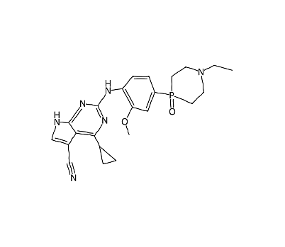 CCN1CCP(=O)(c2ccc(Nc3nc(C4CC4)c4c(C#N)c[nH]c4n3)c(OC)c2)CC1